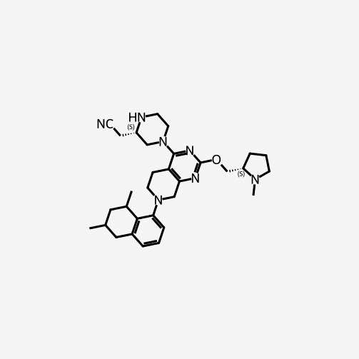 CC1Cc2cccc(N3CCc4c(nc(OC[C@@H]5CCCN5C)nc4N4CCN[C@@H](CC#N)C4)C3)c2C(C)C1